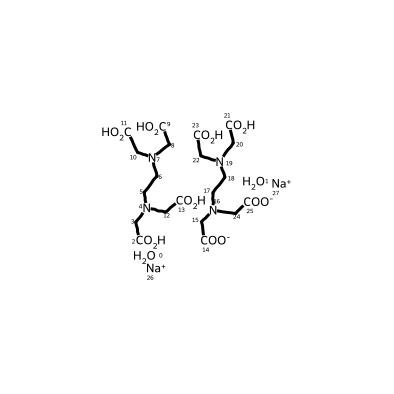 O.O.O=C(O)CN(CCN(CC(=O)O)CC(=O)O)CC(=O)O.O=C([O-])CN(CCN(CC(=O)O)CC(=O)O)CC(=O)[O-].[Na+].[Na+]